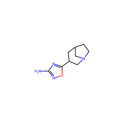 Nc1noc(C2CC3CCN(C3)C2)n1